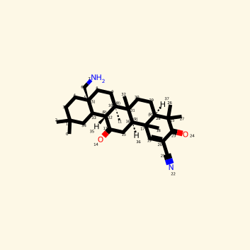 CC1(C)CC[C@]2(CN)CC[C@]3(C)[C@H](C(=O)C[C@@H]4C5(C)C=C(C#N)C(=O)C(C)(C)[C@@H]5CCC43C)C2C1